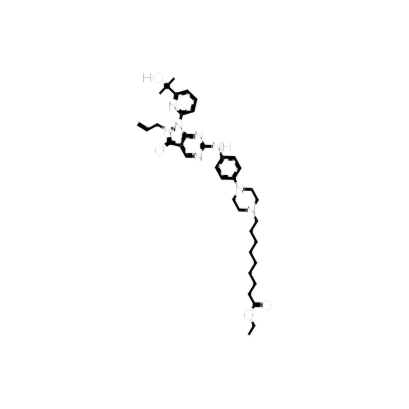 C=CCn1c(=O)c2cnc(Nc3ccc(N4CCN(CCCCCCCCC(=O)OCC)CC4)cc3)nc2n1-c1cccc(C(C)(C)O)n1